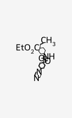 CC=CC1(C(=O)OCC)CCC(NS(=O)(=O)c2ccc(N3C=CN=CC3)cc2)CC1